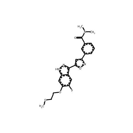 COCCOc1cc2[nH]nc(-c3cc(-c4cccc(C(=O)N(C)C)c4)no3)c2cc1F